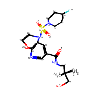 CC(C)(CO)CNC(=O)c1cnc2c(c1)N(S(=O)(=O)N1CCC(F)CC1)CCO2